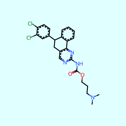 CN(C)CCCOC(=O)Nc1ncc2c(n1)-c1ccccc1C(c1ccc(Cl)c(Cl)c1)C2